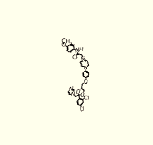 COc1ccc(NC(=O)CN2CCN(c3ccc(OCC4COC(Cn5ccnc5)(c5ccc(Cl)cc5Cl)O4)cc3)CC2)cc1